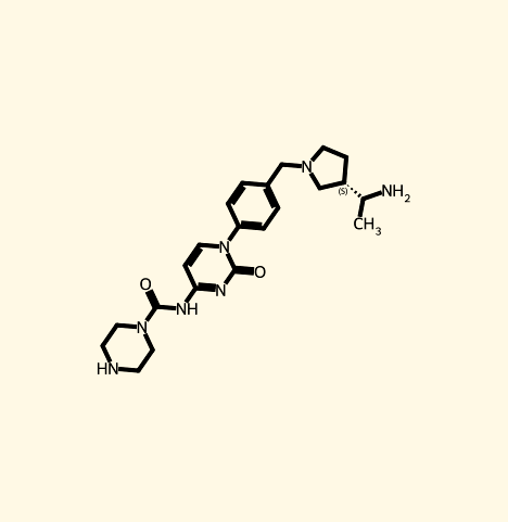 CC(N)[C@H]1CCN(Cc2ccc(-n3ccc(NC(=O)N4CCNCC4)nc3=O)cc2)C1